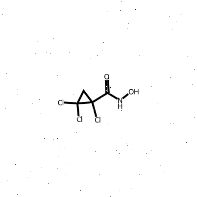 O=C(NO)C1(Cl)CC1(Cl)Cl